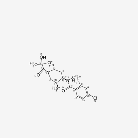 C[C@H]1CN(C(=O)C(C)(O)C(F)(F)F)CC[C@H]1N(C)C(=O)c1ccc(Cl)cc1F